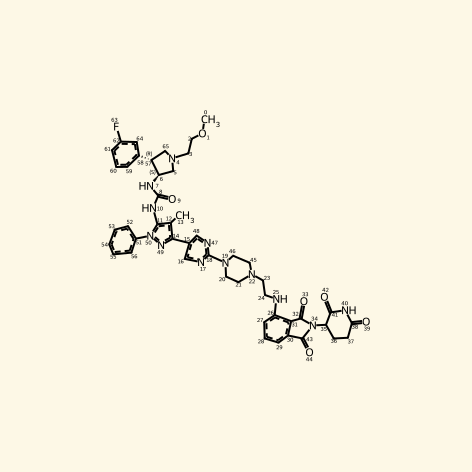 COCCN1C[C@@H](NC(=O)Nc2c(C)c(-c3cnc(N4CCN(CCNc5cccc6c5C(=O)N(C5CCC(=O)NC5=O)C6=O)CC4)nc3)nn2-c2ccccc2)[C@H](c2cccc(F)c2)C1